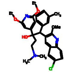 CCOc1cc(C(O)(CCN(C)C)C(c2cccc(C)c2)c2cc3cc(Cl)ccc3nc2OC)cc(OCC)n1